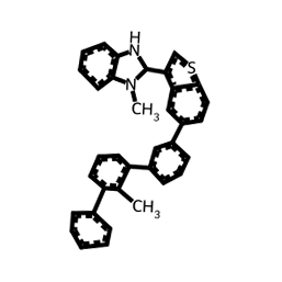 Cc1c(-c2ccccc2)cccc1-c1cccc(-c2ccc3scc(C4Nc5ccccc5N4C)c3c2)c1